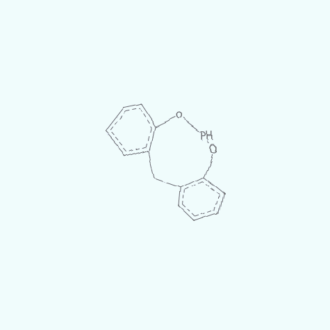 c1ccc2c(c1)Cc1ccccc1OPO2